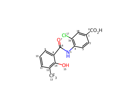 O=C(O)c1ccc(NC(=O)c2cccc(C(F)(F)F)c2O)c(Cl)c1